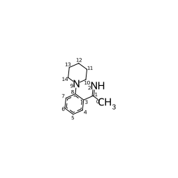 CC(=N)c1ccccc1N1CCCCC1